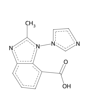 Cc1nc2cccc(C(=O)O)c2n1-n1ccnc1